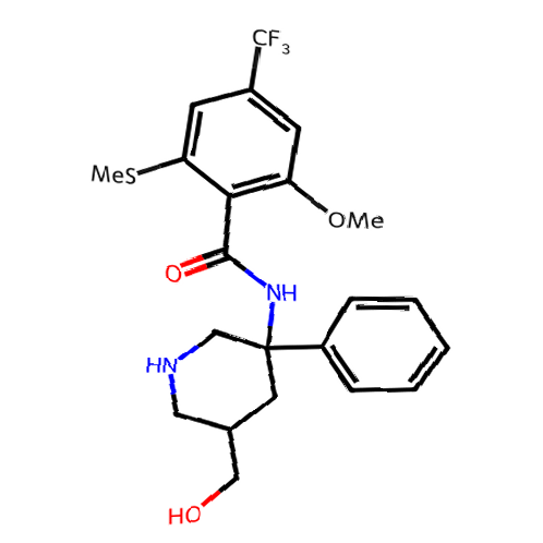 COc1cc(C(F)(F)F)cc(SC)c1C(=O)NC1(c2ccccc2)CNCC(CO)C1